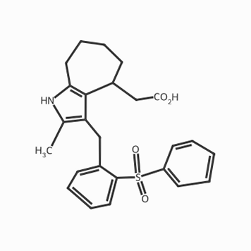 Cc1[nH]c2c(c1Cc1ccccc1S(=O)(=O)c1ccccc1)C(CC(=O)O)CCCC2